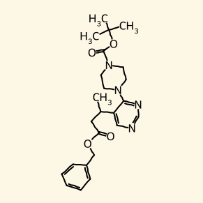 CC(CC(=O)OCc1ccccc1)c1cncnc1N1CCN(C(=O)OC(C)(C)C)CC1